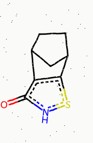 O=c1[nH]sc2c1C1CCC2C1